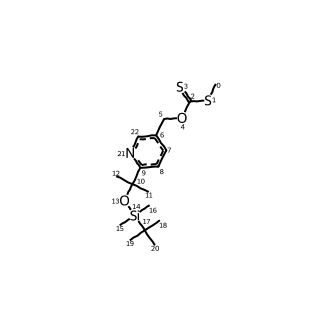 CSC(=S)OCc1ccc(C(C)(C)O[Si](C)(C)C(C)(C)C)nc1